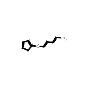 CC=CC=[CH][Ru][C]1=CC=CC1